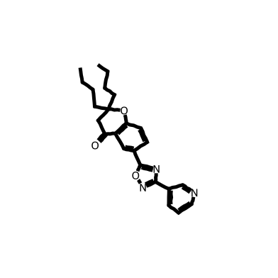 CCCCC1(CCCC)CC(=O)c2cc(-c3nc(-c4cccnc4)no3)ccc2O1